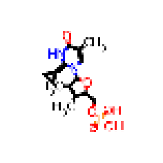 CC1=CN(C2OC(COP(=O)(O)O)C(C)C2C)C(=C2CC2)NC1=O